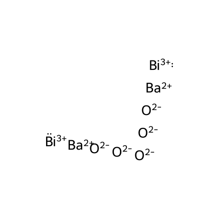 [Ba+2].[Ba+2].[Bi+3].[Bi+3].[O-2].[O-2].[O-2].[O-2].[O-2]